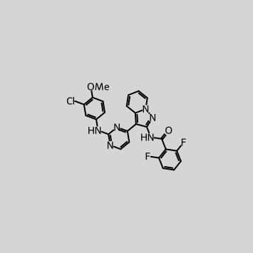 COc1ccc(Nc2nccc(-c3c(NC(=O)c4c(F)cccc4F)nn4ccccc34)n2)cc1Cl